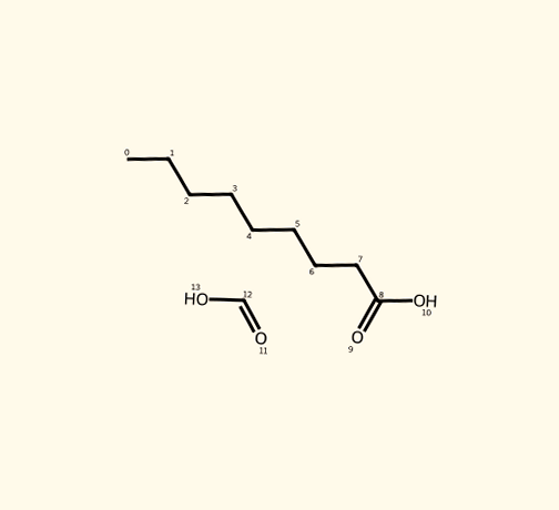 CCCCCCCCC(=O)O.O=CO